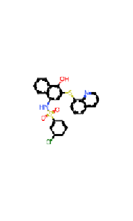 O=S(=O)(Nc1cc(Sc2cccc3cccnc23)c(O)c2ccccc12)C1=CC(Cl)CC=C1